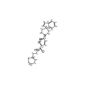 O=C(NCCN1CCOCC1)c1ccc(N2CCC3(C=Cc4ccccc43)CC2)nn1